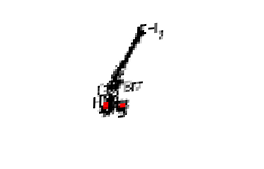 CCCCCCCCCCCCCCOc1ccc(OCC(=O)Nc2ccccc2C[n+]2ccsc2)c(Cl)c1.[Br-]